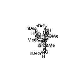 CCCCCCCCCCCCNC(=O)OCC(CC(C[N+](C)(C)C)OP(=O)(OC(CC(COC(=O)NCCCCCCCCCCCC)OC)C[N+](C)(C)C)OC(CC(COC(=O)NCCCCCCCCCCCC)OC)C[N+](C)(C)C)OC